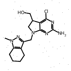 Cn1nc(CN2CC(CO)c3c(Cl)nc(N)nc32)c2c1CCCC2